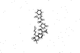 COCCCN1C(=O)C(C)(C)Oc2ccc(N(C(=O)[C@H]3CNC[C@@H](C(=O)N[C@@H](COC)CC4CCCCC4)C3)C3CC3)cc21